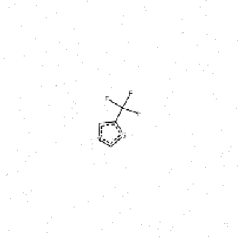 FC(F)(F)c1cncs1